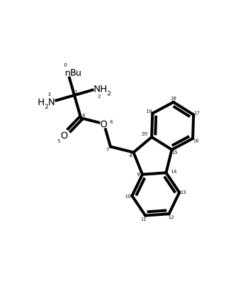 CCCCC(N)(N)C(=O)OCC1c2ccccc2-c2ccccc21